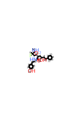 CC(F)(CC[C@H](C[C@@H](O)[CH]Cc1ccccc1)C(=O)NCCc1ccc(O)cc1)C(N)=O